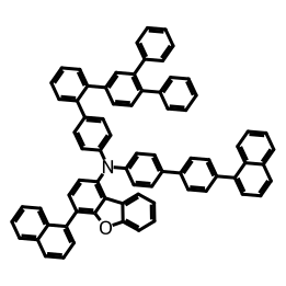 c1ccc(-c2ccc(-c3ccccc3-c3ccc(N(c4ccc(-c5ccc(-c6cccc7ccccc67)cc5)cc4)c4ccc(-c5cccc6ccccc56)c5oc6ccccc6c45)cc3)cc2-c2ccccc2)cc1